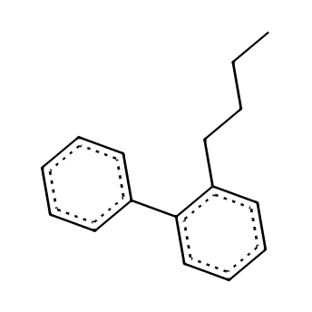 CCCCc1ccc[c]c1-c1ccccc1